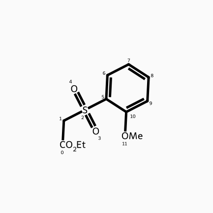 CCOC(=O)CS(=O)(=O)c1ccccc1OC